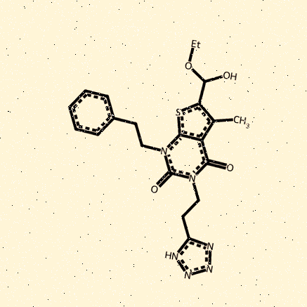 CCOC(O)c1sc2c(c1C)c(=O)n(CCc1nnn[nH]1)c(=O)n2CCc1ccccc1